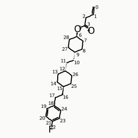 C=CCC(=O)O[C@H]1CC[C@H](CC[C@H]2CC[C@H](CCc3ccc(F)cc3)CC2)CC1